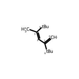 [CH]=C(/C=C(/C)C(C)(C)C)C(C)(C)C